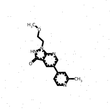 COCCn1[nH]c(=O)c2cc(-c3ccnc(C)c3)cnc21